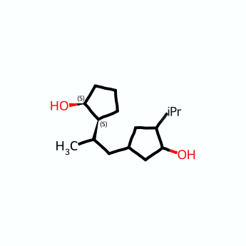 CC(C)C1CC(CC(C)[C@@H]2CCC[C@@H]2O)CC1O